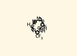 Cn1cc(-c2cc(Oc3ccc(NC(=O)Nc4cc(N5CCC(=O)C5)cc(C(F)(F)F)c4)c(F)c3)ccn2)cn1